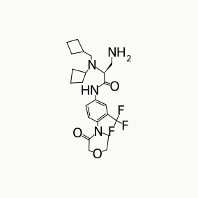 NC[C@@H](C(=O)Nc1ccc(N2CCOCC2=O)c(C(F)(F)F)c1)N(CC1CCC1)C1CCC1